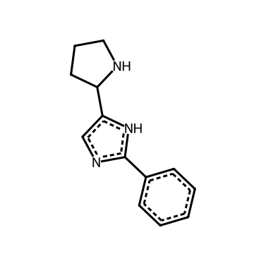 c1ccc(-c2ncc(C3CCCN3)[nH]2)cc1